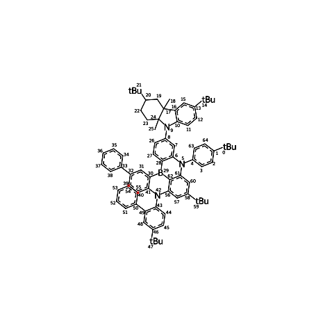 CC(C)(C)c1ccc(N2c3cc(N4c5ccc(C(C)(C)C)cc5C5(C)CC(C(C)(C)C)CCC45C)ccc3B3c4cc(-c5ccccc5)ccc4N(c4ccc(C(C)(C)C)cc4-c4ccccc4)c4cc(C(C)(C)C)cc2c43)cc1